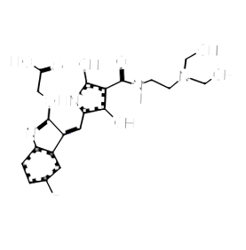 CCN(CC)CCNC(=O)c1c(C)[nH]c(/C=C2\C(OCC(=O)O)=Nc3ccc(F)cc32)c1C